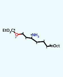 CCCCCCCCCCCCCCOC(=O)OCC.N